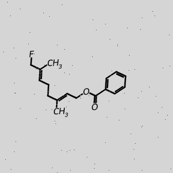 C/C(=C\CC/C(C)=C/COC(=O)c1ccccc1)CF